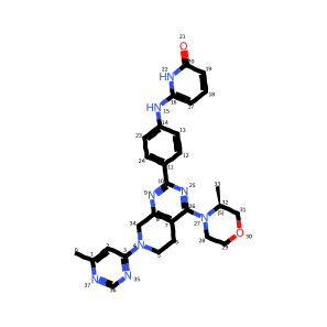 Cc1cc(N2CCc3c(nc(-c4ccc(Nc5cccc(=O)[nH]5)cc4)nc3N3CCOC[C@@H]3C)C2)ncn1